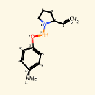 C=CC1CCCN1POc1ccc(NC)cc1